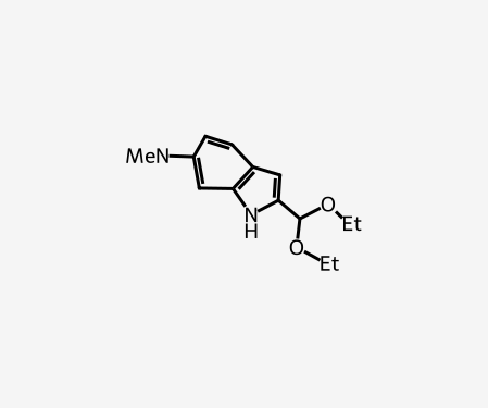 CCOC(OCC)c1cc2ccc(NC)cc2[nH]1